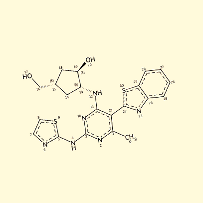 Cc1nc(Nc2nccs2)nc(N[C@@H]2C[C@H](CO)C[C@H]2O)c1-c1nc2ccccc2s1